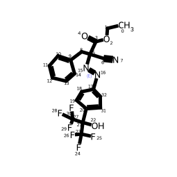 CCOC(=O)C(C#N)(Cc1ccccc1)/N=N/c1ccc(C(O)(C(F)(F)F)C(F)(F)F)cc1